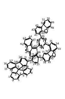 c1ccc2c(c1)-c1ccccc1C21c2ccccc2-c2ccc(-c3ccc(-c4ccc5oc6cccc(-c7nc(-c8cccc9c8oc8ccccc89)nc(-c8cccc9sc%10ccccc%10c89)n7)c6c5c4)cc3)cc21